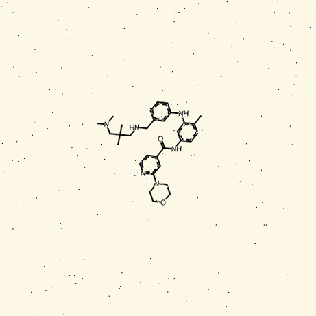 Cc1ccc(NC(=O)c2ccnc(N3CCOCC3)c2)cc1Nc1cccc(CNCC(C)(C)CN(C)C)c1